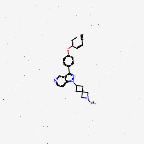 BN1CC2(CC(n3nc(-c4ccc(OC(/C=C\C#C)=C/C)cc4)c4cnccc43)C2)C1